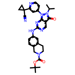 CC(C)n1c(=O)c2cnc(Nc3ccc4c(c3)CCN(C(=O)OC(C)(C)C)C4)nc2n1-c1ccnc(C2(C#N)CC2)c1